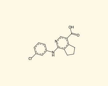 O=C(O)c1cnc(Nc2cccc(Cl)c2)c2c1CCC2